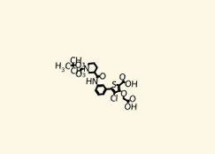 CC(C)(C)OC(=O)N1CCCC(C(=O)Nc2cccc(-c3sc(C(=O)O)c(OCC(=O)O)c3Cl)c2)C1